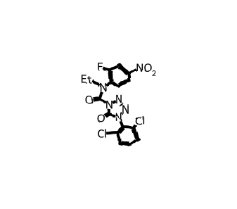 CCN(C(=O)n1nnn(-c2c(Cl)cccc2Cl)c1=O)c1ccc([N+](=O)[O-])cc1F